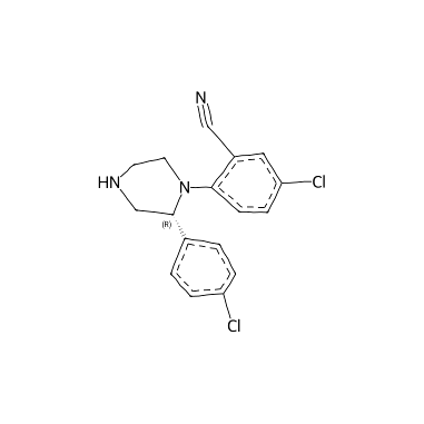 N#Cc1cc(Cl)ccc1N1CCNC[C@H]1c1ccc(Cl)cc1